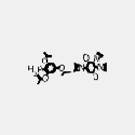 CC(C)Oc1cc(OC(C)C)c(P)c(OC(C)C)c1.O=C1C=C(N2CC2)C(=O)C(N2CC2)=C1N1CC1